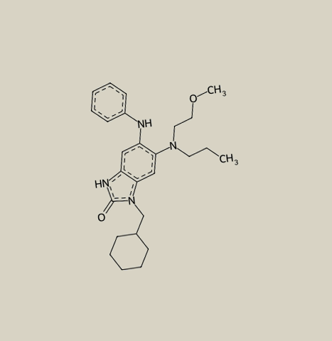 CCCN(CCOC)c1cc2c(cc1Nc1ccccc1)[nH]c(=O)n2CC1CCCCC1